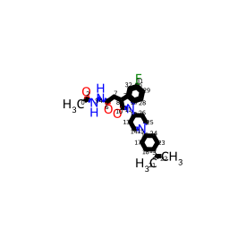 CC(=O)NNC(=O)CC1C(=O)N(C2CCN([C@H]3CC[C@@H](C(C)C)CC3)CC2)c2ccc(F)cc21